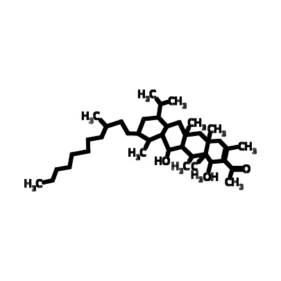 CCCCCCCCC(C)CCC1CC(C(C)C)C2CC3(C)CC4(C)CC(C)=C(C(C)=O)C(O)C4(C)C(C)C3C(O)C2C1C